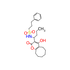 CCCC(NS(=O)(=O)CCCc1ccccc1)c1c(O)c2c(oc1=O)CCCCCC2